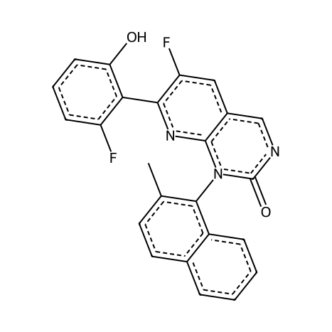 Cc1ccc2ccccc2c1-n1c(=O)ncc2cc(F)c(-c3c(O)cccc3F)nc21